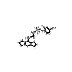 O=C(Nc1c2c(cc3c1CCC3)CCC2)NS(=O)(=O)NCc1ccc(Cl)cc1F